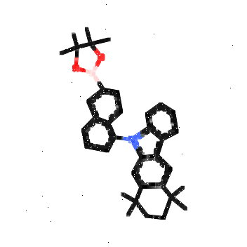 CC1(C)CCC(C)(C)c2cc3c(cc21)c1ccccc1n3-c1cccc2cc(B3OC(C)(C)C(C)(C)O3)ccc12